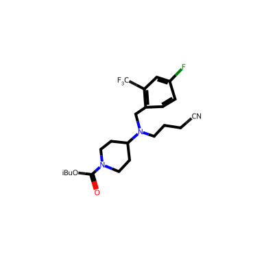 CC(C)COC(=O)N1CCC(N(CCCC#N)Cc2ccc(F)cc2C(F)(F)F)CC1